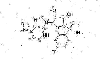 C[C@@](O)(c1ccc(Cl)cc1)[C@H]1O[C@@H](n2cnc3/c(=N\N)nc[nH]c32)[C@H](O)[C@@H]1O